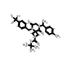 Cc1ccc(C(C)N2CC(=O)N(Cc3ccc(C(F)(F)F)cc3)C3(CN(C(=O)OC(C)(C)C)C3)C2=O)cc1